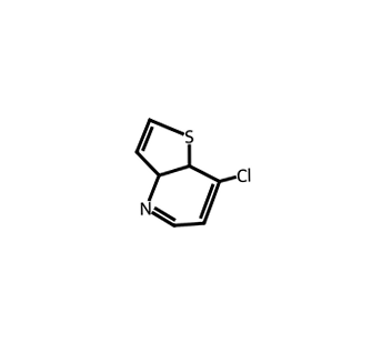 ClC1=CC=NC2C=CSC12